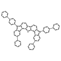 c1ccc(-c2ccc(-n3c4ccc(-c5ccccc5)cc4c4c5sc6c(ccc7c6c6cc(-c8ccccc8)ccc6n7-c6ccc(-c7ccccc7)cc6)c5ccc43)cc2)cc1